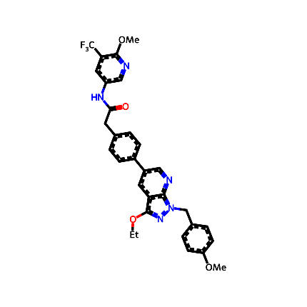 CCOc1nn(Cc2ccc(OC)cc2)c2ncc(-c3ccc(CC(=O)Nc4cnc(OC)c(C(F)(F)F)c4)cc3)cc12